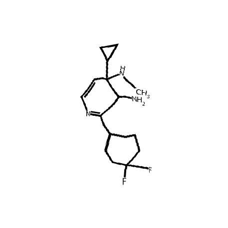 CNC1(C2CC2)C=CN=C(C2CCC(F)(F)CC2)C1N